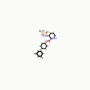 CS(=O)(=O)N[C@H]1CCCN[C@H]1CO[C@H]1CC[C@@H](c2cc(F)cc(F)c2)CC1